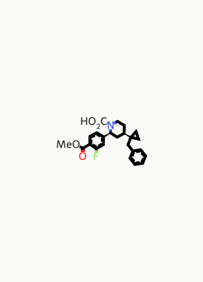 COC(=O)c1ccc([C@@H]2C[C@H](C3(Cc4ccccc4)CC3)CCN2C(=O)O)cc1F